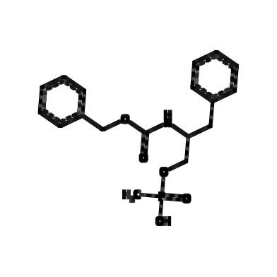 CP(=O)(O)OCC(Cc1ccccc1)NC(=O)OCc1ccccc1